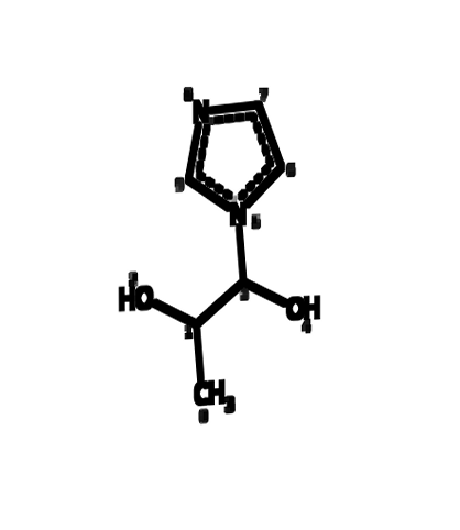 CC(O)C(O)n1ccnc1